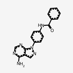 Nc1ncnc2c1cnn2-c1ccc(NC(=O)c2ccccc2)cc1